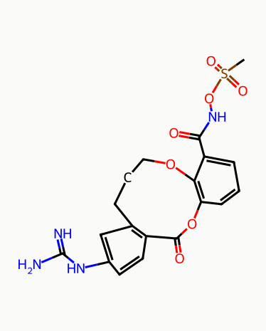 CS(=O)(=O)ONC(=O)c1cccc2c1OCCCc1cc(NC(=N)N)ccc1C(=O)O2